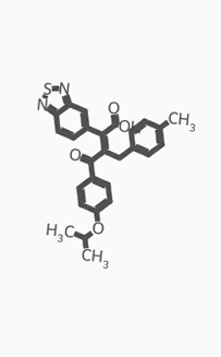 Cc1ccc(CC(C(=O)c2ccc(OC(C)C)cc2)=C(C(=O)O)c2ccc3nsnc3c2)cc1